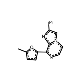 Cc1ccc(-c2nccn3cc(C(C)C)nc23)o1